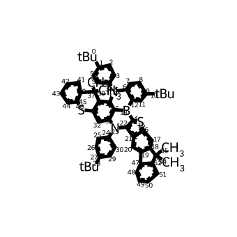 CC(C)(C)c1ccc(N2c3ccc(C(C)(C)C)cc3B3c4sc5cc6c(cc5c4N(c4ccc(C(C)(C)C)cc4)c4cc5c(c2c43)C(C)(C)c2ccccc2S5)-c2ccccc2C6(C)C)cc1